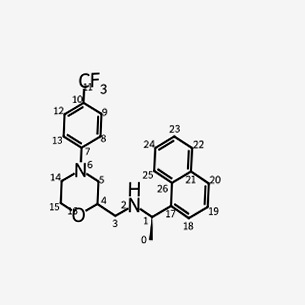 C[C@@H](NCC1CN(c2ccc(C(F)(F)F)cc2)CCO1)c1cccc2ccccc12